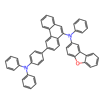 c1ccc(N(c2ccccc2)c2ccc(-c3ccc4c(N(c5ccccc5)c5ccc6oc7ccccc7c6c5)cc5ccccc5c4c3)cc2)cc1